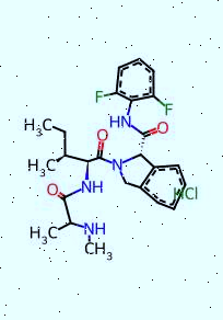 CC[C@H](C)[C@H](NC(=O)C(C)NC)C(=O)N1Cc2ccccc2[C@H]1C(=O)Nc1c(F)cccc1F.Cl